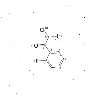 O=C(c1ccccc1F)C(Cl)I